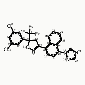 FC(F)(F)C1(c2cc(Cl)cc(Cl)c2)CC(c2ccc(-n3cncn3)c3ccccc23)=NO1